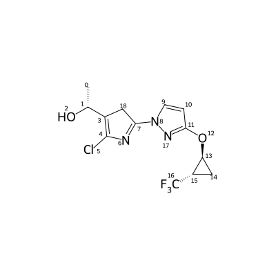 C[C@@H](O)C1=C(Cl)N=C(n2ccc(O[C@H]3C[C@@H]3C(F)(F)F)n2)C1